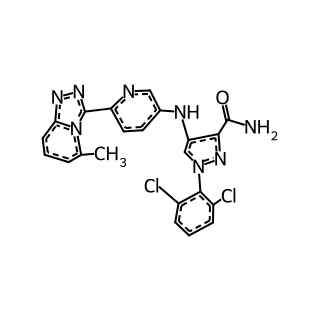 Cc1cccc2nnc(-c3ccc(Nc4cn(-c5c(Cl)cccc5Cl)nc4C(N)=O)cn3)n12